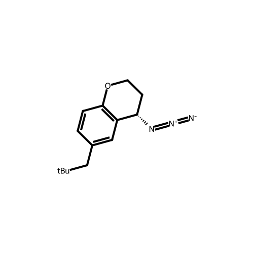 CC(C)(C)Cc1ccc2c(c1)[C@@H](N=[N+]=[N-])CCO2